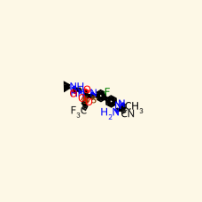 Cc1nn(-c2ccc(-c3cc4sc(C(C(=O)NCC(=O)NC5CC5)S(=O)(=O)CCC(F)(F)F)nc4cc3F)cc2)c(N)c1C#N